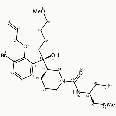 C=CCOc1c(Br)cccc1[C@](O)(CCCCOC)[C@@H]1CCCN(C(=O)N[C@H](CNC)CC(C)C)C1